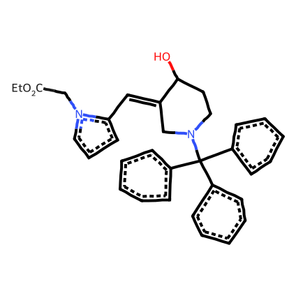 CCOC(=O)Cn1cccc1/C=C1\CN(C(c2ccccc2)(c2ccccc2)c2ccccc2)CCC1O